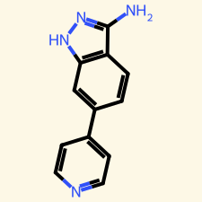 Nc1n[nH]c2cc(-c3ccncc3)ccc12